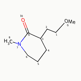 COCCC1CCCN(C)C1=O